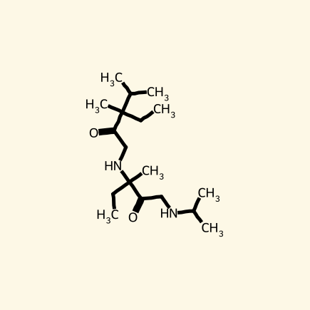 CCC(C)(NCC(=O)C(C)(CC)C(C)C)C(=O)CNC(C)C